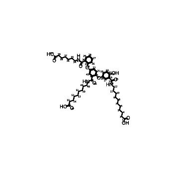 O=C(O)CCCCCCCCCCNC(=O)c1cc(Oc2ccc(Oc3ccccc3C(=O)NCCCCCCC(=O)O)cc2C(=O)NCCCCCCCCC(=O)O)ccc1O